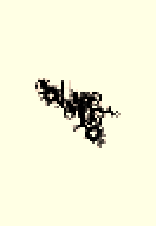 CCCC[C@H]1C(=O)N(C(C)c2ccc(F)cc2)C[C@H]2N1C(=O)CN(C)N2C(=O)NCc1ccc(OC)cc1